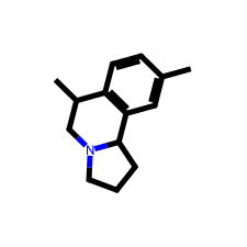 Cc1ccc2c(c1)C1CCCN1CC2C